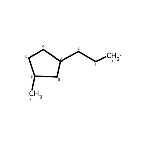 [CH2]CC[C]1CCC(C)C1